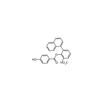 O=C(Oc1c(C(=O)O)cccc1-c1cccc2ccccc12)c1ccc(O)cc1